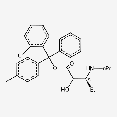 CCCN[C@@H](CC)C(O)C(=O)OC(c1ccccc1)(c1ccc(C)cc1)c1ccccc1Cl